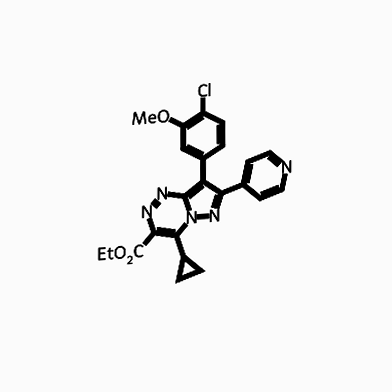 CCOC(=O)c1nnc2c(-c3ccc(Cl)c(OC)c3)c(-c3ccncc3)nn2c1C1CC1